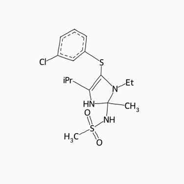 CCN1C(Sc2cccc(Cl)c2)=C(C(C)C)NC1(C)NS(C)(=O)=O